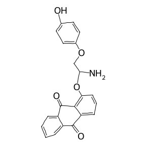 NC(COc1ccc(O)cc1)Oc1cccc2c1C(=O)c1ccccc1C2=O